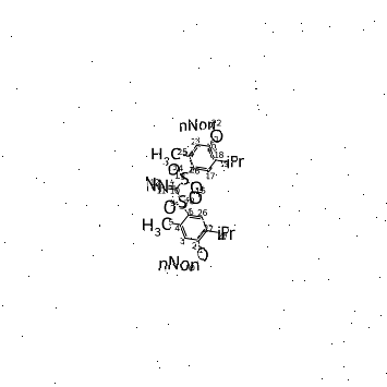 CCCCCCCCCOc1cc(C)c(S(=O)(=O)C(=[N+]=[N-])S(=O)(=O)c2cc(C(C)C)c(OCCCCCCCCC)cc2C)cc1C(C)C